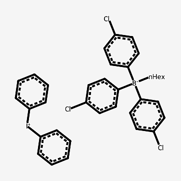 CCCCCC[B-](c1ccc(Cl)cc1)(c1ccc(Cl)cc1)c1ccc(Cl)cc1.c1ccc([I+]c2ccccc2)cc1